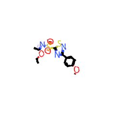 CCO/C(C)=N\S(=O)(=O)c1nc(-c2ccc(OC)cc2)ns1